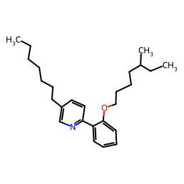 CCCCCCCc1ccc(-c2ccccc2OCCCCC(C)CC)nc1